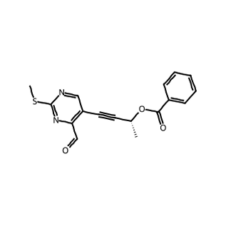 CSc1ncc(C#C[C@@H](C)OC(=O)c2ccccc2)c(C=O)n1